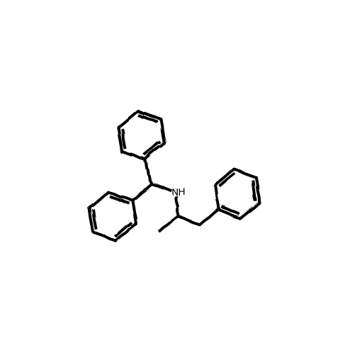 CC(Cc1ccccc1)NC(c1ccccc1)c1ccccc1